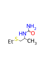 CCSCC(C)NC(N)=O